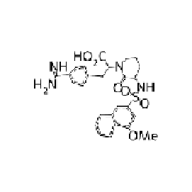 COc1cc(S(=O)(=O)NC2CCCN(C(Cc3ccc(C(=N)N)cc3)C(=O)O)C2=O)cc2ccccc12